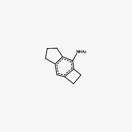 CC(=O)Nc1c2c(cc3c1CC3)CCC2